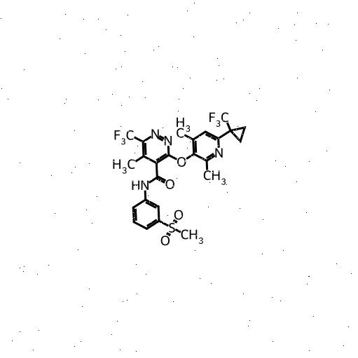 Cc1cc(C2(C(F)(F)F)CC2)nc(C)c1Oc1nnc(C(F)(F)F)c(C)c1C(=O)Nc1cccc(S(C)(=O)=O)c1